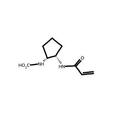 C=CC(=O)N[C@H]1CCC[C@H]1NC(=O)O